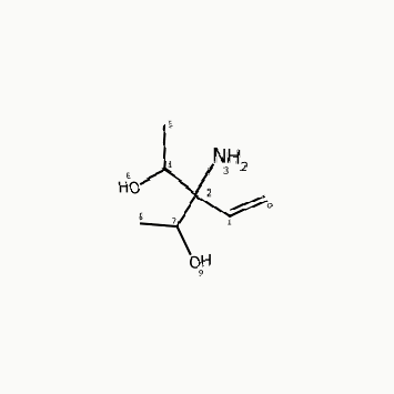 C=CC(N)(C(C)O)C(C)O